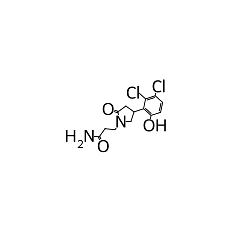 NC(=O)CCN1CC(c2c(O)ccc(Cl)c2Cl)CC1=O